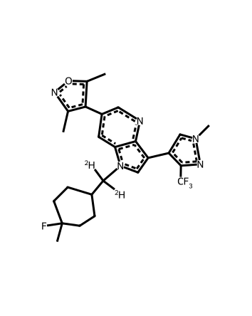 [2H]C([2H])(C1CCC(C)(F)CC1)n1cc(-c2cn(C)nc2C(F)(F)F)c2ncc(-c3c(C)noc3C)cc21